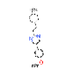 CCCCC1CCC(CCc2ncc(-c3ccc(OCCC)cc3)cn2)CC1